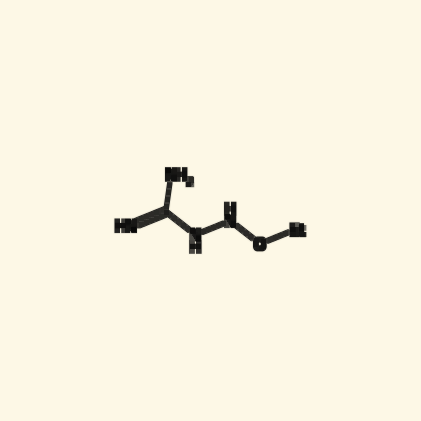 CCONNC(=N)N